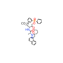 C[C@H](NC1(Cc2cccc3ccccc23)CCCCO1)C(=O)N[C@@H](CC(=O)O)C(=O)COP(=O)(c1ccccc1)c1ccccc1